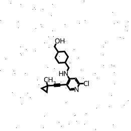 CC1(C#Cc2cnc(Cl)cc2NCC2CCC(CO)CC2)CC1